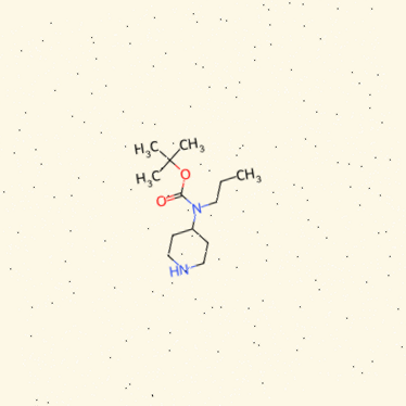 CCCN(C(=O)OC(C)(C)C)C1CCNCC1